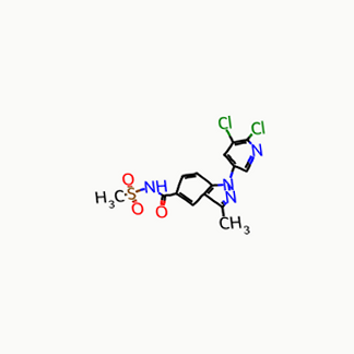 Cc1nn(-c2cnc(Cl)c(Cl)c2)c2ccc(C(=O)NS(C)(=O)=O)cc12